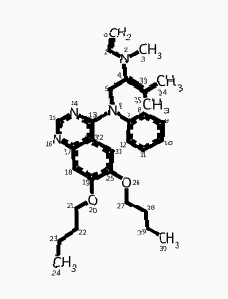 C=CN(C)C(CN(c1ccccc1)c1ncnc2cc(OCCCC)c(OCCCC)cc12)=C(C)C